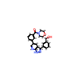 O=C(c1cccc(-c2cnc3[nH]nc(-c4cccc(CO)c4)c3c2)c1)N1CCOCC1